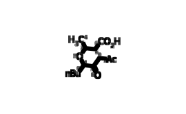 CCCCC(OC(C)CC(=O)O)C(=O)CC(C)=O